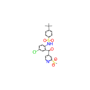 CC(C)(C)c1ccc(S(=O)(=O)Nc2ccc(Cl)cc2C(=O)c2ccnc(S(C)(=O)=O)c2)cc1